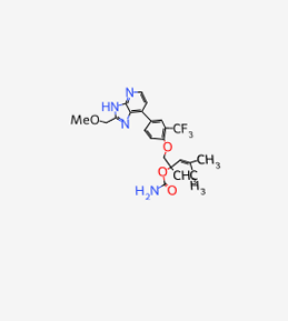 COCc1nc2c(-c3ccc(OCC(C)(C=C(C)C)OC(N)=O)c(C(F)(F)F)c3)ccnc2[nH]1